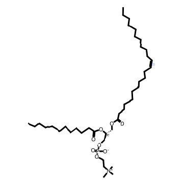 CCCCCCCCCC/C=C\CCCCCCCCCC(=O)OC[C@H](COP(=O)([O-])OCC[N+](C)(C)C)OC(=O)CCCCCCCCCCC